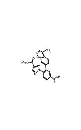 COC(=O)c1cnn(-c2ccc(B(C)O)cc2-c2ccc3c(N)cnnc3c2)c1